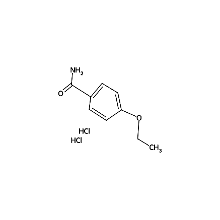 CCOc1ccc(C(N)=O)cc1.Cl.Cl